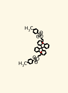 Cc1ccc(S(=O)(=O)O/C=C/Cc2ccccc2C(c2ccccc2)(c2ccccc2)c2ccccc2C/C=C/OS(=O)(=O)c2ccc(C)cc2)cc1